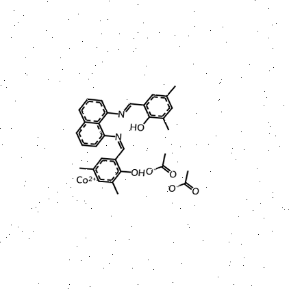 CC(=O)[O-].CC(=O)[O-].Cc1cc(C)c(O)c(C=Nc2cccc3cccc(N=Cc4cc(C)cc(C)c4O)c23)c1.[Co+2]